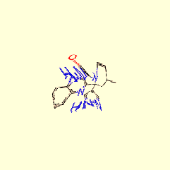 CC1CCN(C(N)=O)C(c2cn[nH]c2)(c2cnc3ccccc3n2)C1